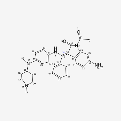 CC(=O)N1C(=O)/C(=C(\Nc2ccc(N(C)C3CCN(C)CC3)cc2)c2ccccc2)c2ccc(N)cc21